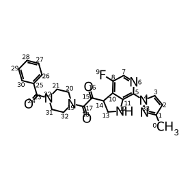 Cc1ccn(-c2ncc(F)c3c2NCC3C(=O)C(=O)N2CCN(C(=O)c3ccccc3)CC2)n1